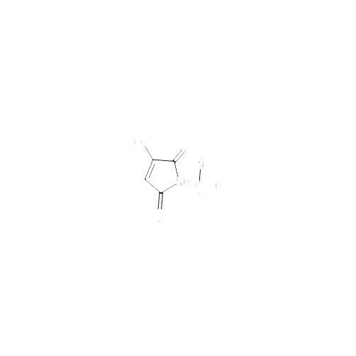 CCC1=CC(=O)NC1=O.NC(=O)O